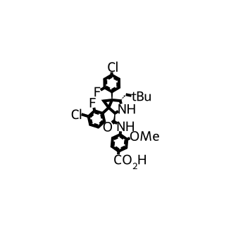 COc1cc(C(=O)O)ccc1NC(=O)[C@@H]1N[C@@H](CC(C)(C)C)[C@@]2(c3ccc(Cl)cc3F)CC12c1cccc(Cl)c1F